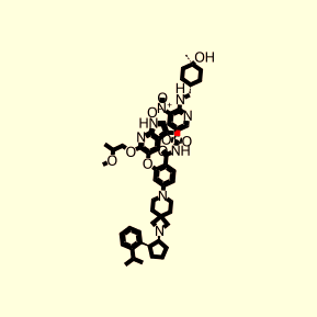 COC(C)COc1nc2[nH]cc(F)c2cc1Oc1cc(N2CCC3(CC2)CN([C@H]2CCC[C@H]2c2ccccc2C(C)C)C3)ccc1C(=O)NS(=O)(=O)c1cnc(NC[C@H]2CC[C@](C)(O)CC2)c([N+](=O)[O-])c1